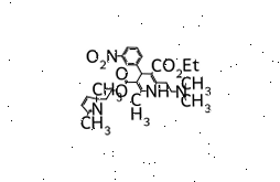 CCOC(=O)C1=C(CCN(C)C)NC(C)=C(C(=O)OCCC2(C)C=CC(C)=N2)C1c1cccc([N+](=O)[O-])c1